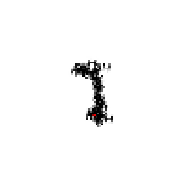 CC(C)(O)c1cc2nn(C3CCN(CCC4CCC5(CC4)CCN(C(=O)c4ccc(C(F)(F)F)c(N6CCC(=O)NC6=O)c4)CC5)CC3)cc2cc1NC(=O)c1cccc(C(F)(F)F)n1